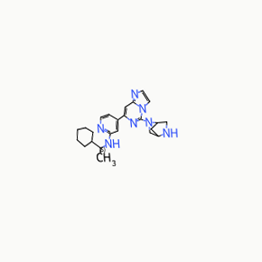 C[C@H](Nc1cc(-c2cc3nccn3c(N3CC4CC3CN4)n2)ccn1)C1CCCCC1